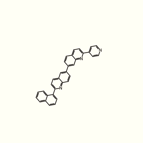 c1ccc2c(-c3ccc4cc(-c5ccc6ccc(-c7ccncc7)nc6c5)ccc4n3)cccc2c1